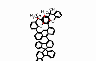 CCc1ccccc1Oc1c(CC)cccc1-c1cccc2c(-c3cccc4c3-c3ccccc3C43c4ccccc4-c4c3ccc3ccccc43)c3cccc(-c4cccc5c4Oc4ccccc4C5(C)C)c3cc12